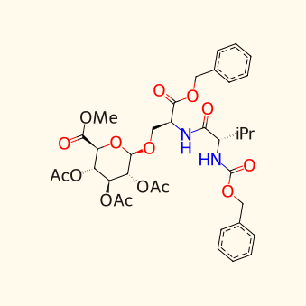 COC(=O)[C@H]1O[C@@H](OC[C@H](NC(=O)[C@@H](NC(=O)OCc2ccccc2)C(C)C)C(=O)OCc2ccccc2)[C@H](OC(C)=O)[C@@H](OC(C)=O)[C@@H]1OC(C)=O